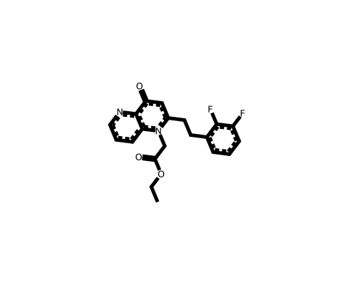 CCOC(=O)Cn1c(CCc2cccc(F)c2F)cc(=O)c2ncccc21